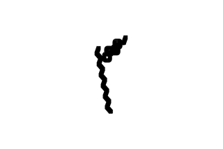 CCCCCCCCCCC(CC)OOOOCC